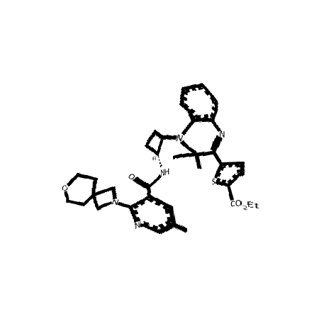 CCOC(=O)c1ccc(C2=Nc3ccccc3N(C3CC[C@H]3NC(=O)c3cc(C)cnc3N3CC4(CCOCC4)C3)C2(C)C)s1